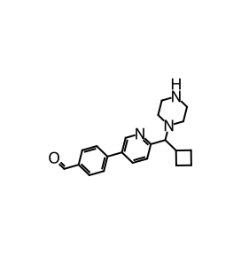 O=Cc1ccc(-c2ccc(C(C3CCC3)N3CCNCC3)nc2)cc1